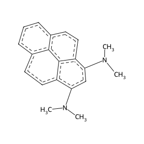 CN(C)c1cc(N(C)C)c2ccc3cccc4ccc1c2c43